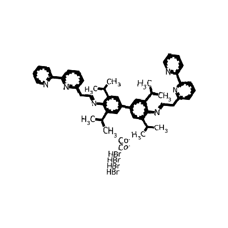 Br.Br.Br.Br.CC(C)c1cc(-c2cc(C(C)C)c(N=CCc3cccc(-c4ccccn4)n3)c(C(C)C)c2)cc(C(C)C)c1N=CCc1cccc(-c2ccccn2)n1.[Co].[Co]